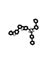 c1ccc(-c2ccc(-c3nc(-c4cccc(-c5ccccc5)c4)nc(-c4ccc5c(c4)oc4c(-c6ccc7oc8ccccc8c7c6)cccc45)n3)cc2)cc1